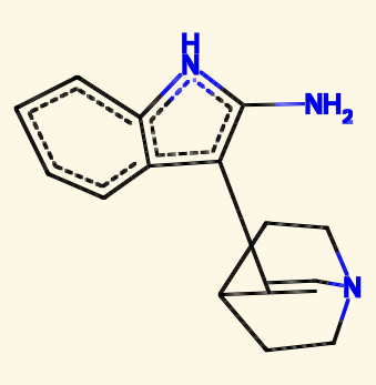 Nc1[nH]c2ccccc2c1C1=CN2CCC1CC2